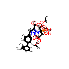 CCOC(=O)CC(CC(=O)OCC)(NC(Cc1ccc(-c2ccccc2)cc1)C(=O)O)P(=O)(O)O